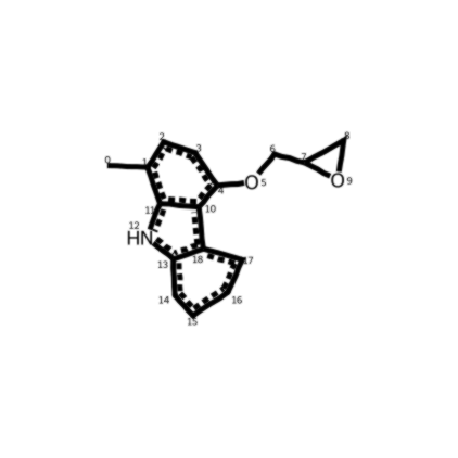 Cc1ccc(OCC2CO2)c2c1[nH]c1ccccc12